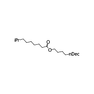 CCCCCCCCCCCCCCOC(=O)CCCCCCC(C)C